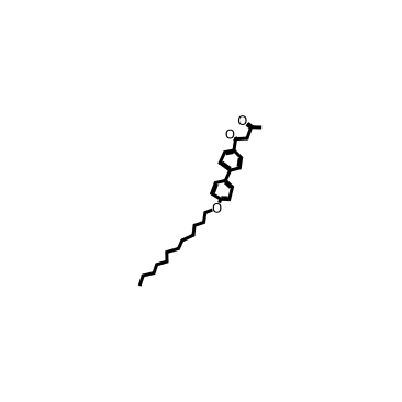 CCCCCCCCCCCCOc1ccc(-c2ccc(C(=O)CC(C)=O)cc2)cc1